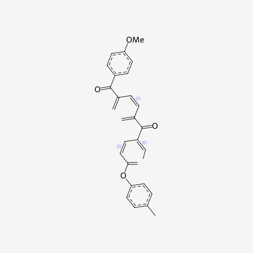 C=C(/C=C\C(=C/C)C(=O)C(=C)/C=C\C(=C)C(=O)c1ccc(OC)cc1)Oc1ccc(C)cc1